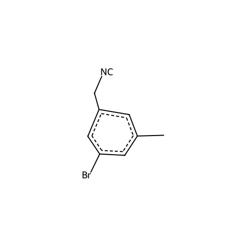 [C-]#[N+]Cc1cc(C)cc(Br)c1